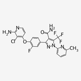 Cc1cccc(-n2nc(-c3ccc(Oc4ccnc(N)c4Cl)c(F)c3)c(C(N)=O)c2C(F)(F)F)n1